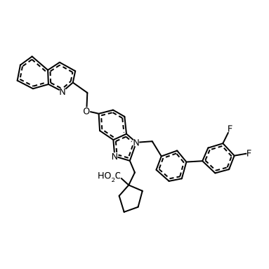 O=C(O)C1(Cc2nc3cc(OCc4ccc5ccccc5n4)ccc3n2Cc2cccc(-c3ccc(F)c(F)c3)c2)CCCC1